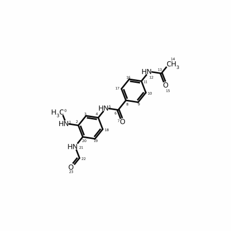 CNc1cc(NC(=O)c2ccc(NC(C)=O)cc2)ccc1NC=O